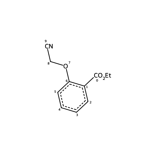 CCOC(=O)c1ccccc1OCC#N